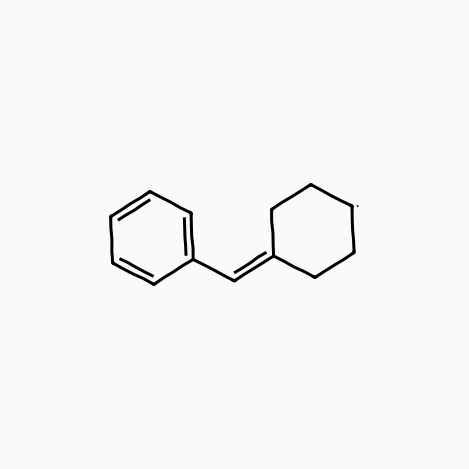 [CH]1CCC(=Cc2ccccc2)CC1